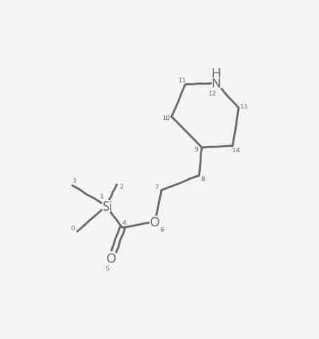 C[Si](C)(C)C(=O)OCCC1CCNCC1